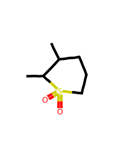 CC1CCCS(=O)(=O)C1C